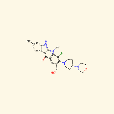 CC(C)n1c2[nH]c3cc(C#N)ccc3c2c(=O)c2cc(CO)c(N3CCC(N4CCOCC4)CC3)c(F)c21